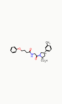 Cc1cccc([C@H]2C[C@@H](C(=O)O)N(C(=O)CNC(=O)CCCOc3ccccc3)C2)c1